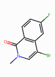 Cn1cc(Br)c2cc(F)ccc2c1=O